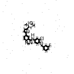 CN(C)[C@@H](C[S+](C)[O-])c1ccc(-c2ccc3ncnc(Nc4ccc(OCc5cccc(F)c5)c(Cl)c4)c3c2)o1